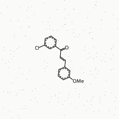 COc1cccc(/C=C/C(=O)c2cccc(Cl)c2)c1